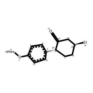 CCCCCCOc1ccc([C@H]2CC[C@H](CC)CC2=O)cc1